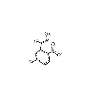 O=[N+]([O-])c1ccc(Cl)cc1C(Cl)=NO